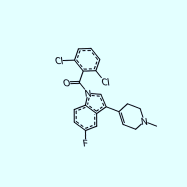 CN1CC=C(c2cn(C(=O)c3c(Cl)cccc3Cl)c3ccc(F)cc23)CC1